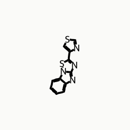 c1ccc2c(c1)nc1nc(-c3cscn3)sn12